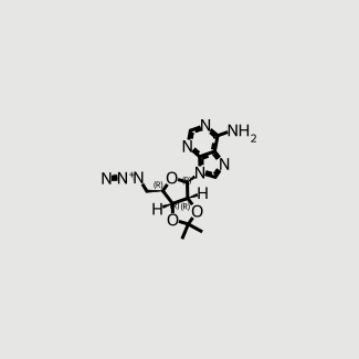 CC1(C)O[C@@H]2[C@H](O1)[C@@H](CN=[N+]=[N-])O[C@H]2n1cnc2c(N)ncnc21